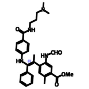 COC(=O)c1cc(NC=O)c(/C(C)=C(/Nc2ccc(C(=O)NCCCN(C)C)cc2)c2ccccc2)cc1C